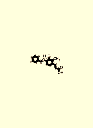 Cc1c(C=CC(=O)O)ccc(OCc2ccccc2)c1C